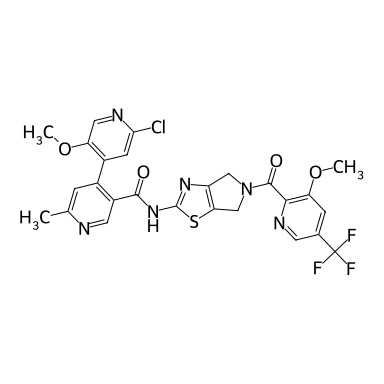 COc1cnc(Cl)cc1-c1cc(C)ncc1C(=O)Nc1nc2c(s1)CN(C(=O)c1ncc(C(F)(F)F)cc1OC)C2